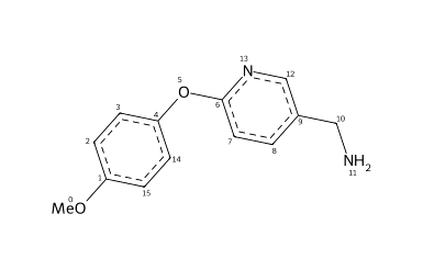 COc1ccc(Oc2ccc(CN)cn2)cc1